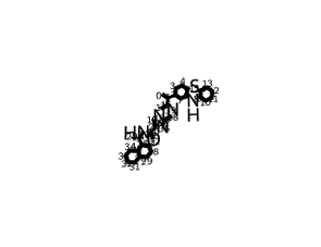 C=C(c1ccc2c(c1)Nc1ccccc1S2)c1cn2cc(C(=O)N[C@H](C)c3cccc4ccccc34)nc2cn1